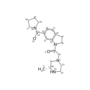 C[C@@H]1CN(CC(=O)N2CCc3ccc([S+]([O-])N4CCCC4)cc32)CCN1